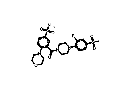 CS(=O)(=O)c1ccc(N2CCN(C(=O)c3cc(S(N)(=O)=O)ccc3N3CCOCC3)CC2)c(F)c1